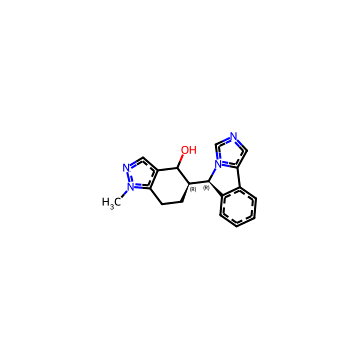 Cn1ncc2c1CC[C@H]([C@@H]1c3ccccc3-c3cncn31)C2O